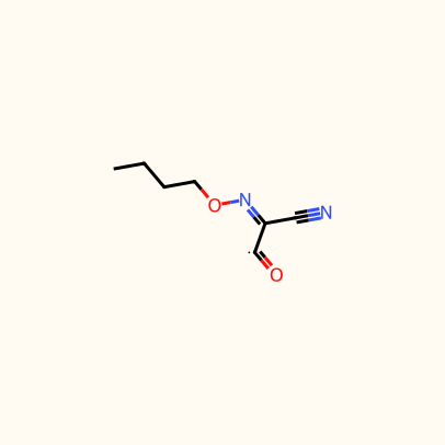 CCCCON=C([C]=O)C#N